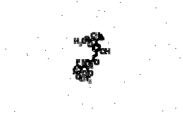 COC(=O)[C@@H](C)[C@H](c1ccc(CCC(=O)c2cnc(-c3cc(OC)ncc3F)c(C3OCCO3)n2)c(O)c1)C1CC1